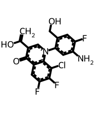 C=C(O)c1cn(-c2cc(N)c(F)cc2CO)c2c(Cl)c(F)c(F)cc2c1=O